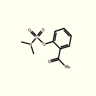 CN(C)S(=O)(=O)Oc1ccccc1C(=O)C(C)(C)C